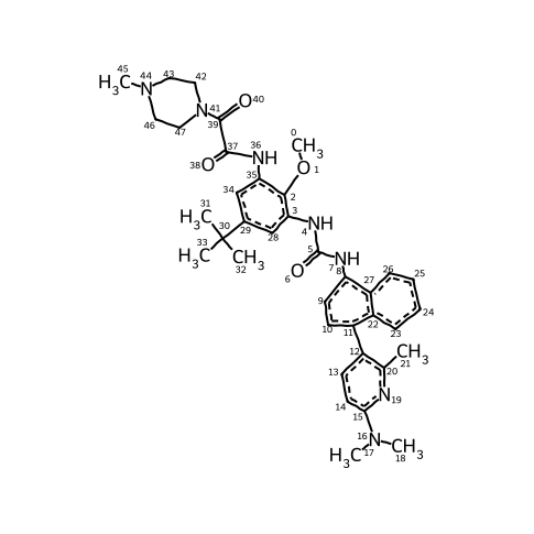 COc1c(NC(=O)Nc2ccc(-c3ccc(N(C)C)nc3C)c3ccccc23)cc(C(C)(C)C)cc1NC(=O)C(=O)N1CCN(C)CC1